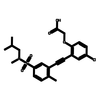 Cc1ccc(S(=O)(=O)N(C)CC(C)C)cc1C#Cc1cc(Cl)ccc1OCC(=O)O